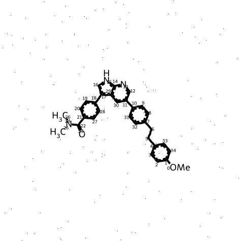 COc1ccc(CCc2ccc(-c3cnc4[nH]cc(-c5ccc(C(=O)N(C)C)cc5)c4c3)cc2)cc1